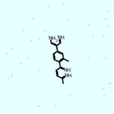 CC(=N)/C=C\C(=N)c1ccc(/C(C=N)=C/N)cc1C